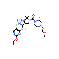 CCOc1ncc(F)c(Nc2n[nH]c3c2CN(C(=O)N2CCN(CCOC)C[C@@H]2C)C3(C)C)n1